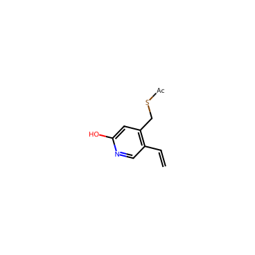 C=Cc1cnc(O)cc1CSC(C)=O